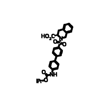 CC(C)OC(=O)Nc1ccc(-c2ccc(S(=O)(=O)N3Cc4ccccc4C[C@@H]3C(=O)O)cc2)cc1